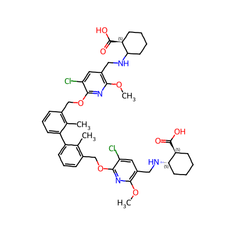 COc1nc(OCc2cccc(-c3cccc(COc4nc(OC)c(CN[C@H]5CCCC[C@@H]5C(=O)O)cc4Cl)c3C)c2C)c(Cl)cc1CNC1CCCC[C@@H]1C(=O)O